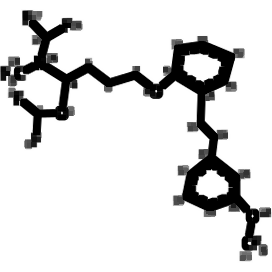 FC(F)OC(CCCOc1ccccc1CCc1cccc(OC(F)(F)F)c1)N(C(F)F)C(F)(F)F